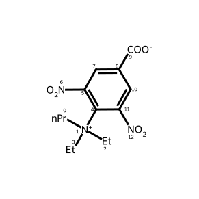 CCC[N+](CC)(CC)c1c([N+](=O)[O-])cc(C(=O)[O-])cc1[N+](=O)[O-]